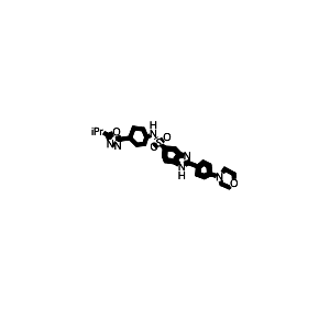 CC(C)c1nnc(C2CCC(NS(=O)(=O)c3ccc4[nH]c(-c5ccc(N6CCOCC6)cc5)nc4c3)CC2)o1